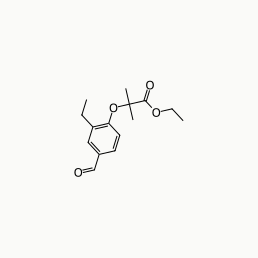 CCOC(=O)C(C)(C)Oc1ccc(C=O)cc1CC